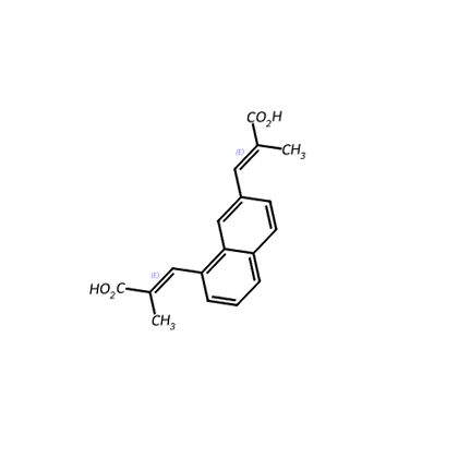 C/C(=C\c1ccc2cccc(/C=C(\C)C(=O)O)c2c1)C(=O)O